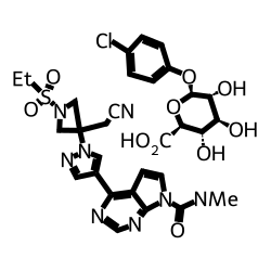 CCS(=O)(=O)N1CC(CC#N)(n2cc(-c3ncnc4c3ccn4C(=O)NC)cn2)C1.O=C(O)[C@H]1O[C@@H](Oc2ccc(Cl)cc2)[C@H](O)[C@@H](O)[C@@H]1O